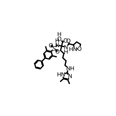 Cc1cc(-c2ccccc2)cc(C)c1S(=O)(=O)NC(CCCCCNc1nc(C)c(C)[nH]1)(NC(=O)C1CCON1)C(=O)O